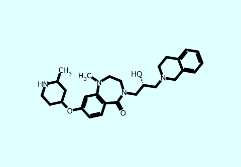 CC1CC(Oc2ccc3c(c2)N(C)CCN(C[C@H](O)CN2CCc4ccccc4C2)C3=O)CCN1